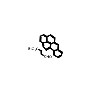 CCOC(=O)CCC=O.c1ccc2c(c1)cc1ccc3cccc4ccc2c1c34